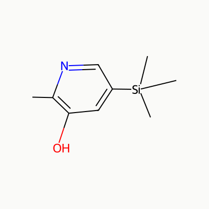 Cc1ncc([Si](C)(C)C)cc1O